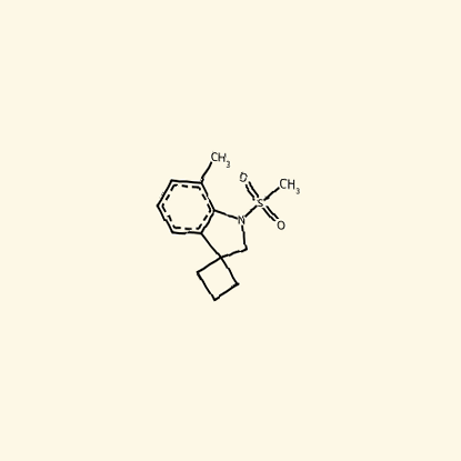 Cc1cccc2c1N(S(C)(=O)=O)CC21CCC1